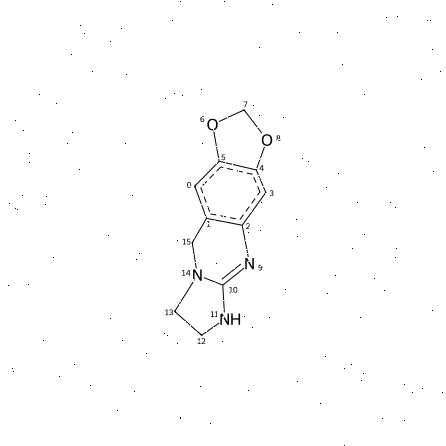 c1c2c(cc3c1OCO3)N=C1NCCN1C2